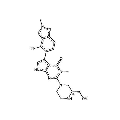 Cn1cc2c(Cl)c(-c3c[nH]c4nc(N5CCN[C@H](CO)C5)n(C)c(=O)c34)ccc2n1